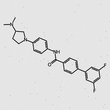 CN(C)C1CCN(c2ccc(NC(=O)c3ccc(-c4cc(F)cc(F)c4)cc3)cc2)C1